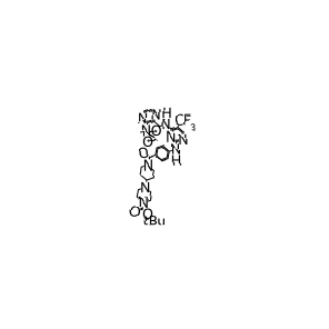 CN(c1nccnc1CNc1nc(Nc2ccc(C(=O)N3CCC(N4CCN(C(=O)OC(C)(C)C)CC4)CC3)cc2)ncc1C(F)(F)F)S(C)(=O)=O